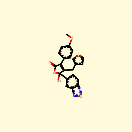 COc1ccc(C2=C(Cc3ccsc3)C(O)(c3ccc4nsnc4c3)OC2=O)cc1